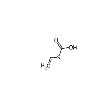 C=CSC(=O)O